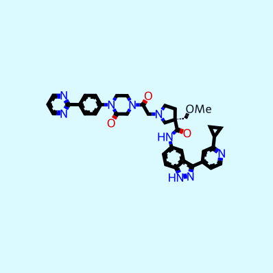 COC[C@@]1(C(=O)Nc2ccc3[nH]nc(-c4ccnc(C5CC5)c4)c3c2)CCN(CC(=O)N2CCN(c3ccc(-c4ncccn4)cc3)C(=O)C2)C1